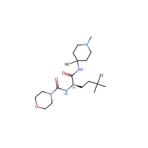 CCC(C)(C)CC[C@@H](NC(=O)N1CCOCC1)C(=O)NC1(C#N)CCN(C)CC1